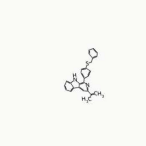 C=C(C)c1cc2c([nH]c3ccccc32)c(-c2ccc(SCc3ccccc3)cc2)n1